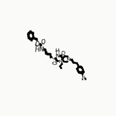 CCCN1C(=O)[C@H](CCCCNC(=O)OCc2ccccc2)NC(=O)C12CCN(C=CCc1ccc(N(C)C)cc1)CC2